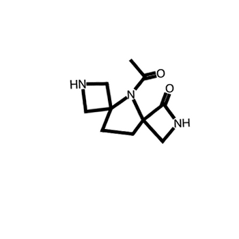 CC(=O)N1C2(CCC13CNC3=O)CNC2